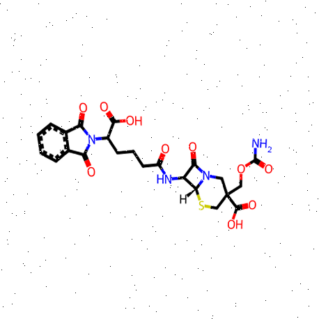 NC(=O)OCC1(C(=O)O)CS[C@@H]2C(NC(=O)CCCC(C(=O)O)N3C(=O)c4ccccc4C3=O)C(=O)N2C1